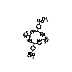 COC(=O)c1ccc(-c2c3nc(c(-c4nccs4)c4ccc([nH]4)c(-c4ccc(C(=O)OC)cc4)c4nc(c(-c5nccs5)c5ccc2[nH]5)C=C4)C=C3)cc1